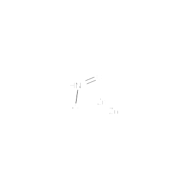 O=[NH+][O-].[Zn].[Zn]